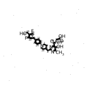 Cc1nc(CC2CCN(c3ccc(-c4cc(F)c(CO)c(F)c4)cc3)CC2)nc(C(=O)NCC(=O)O)c1O